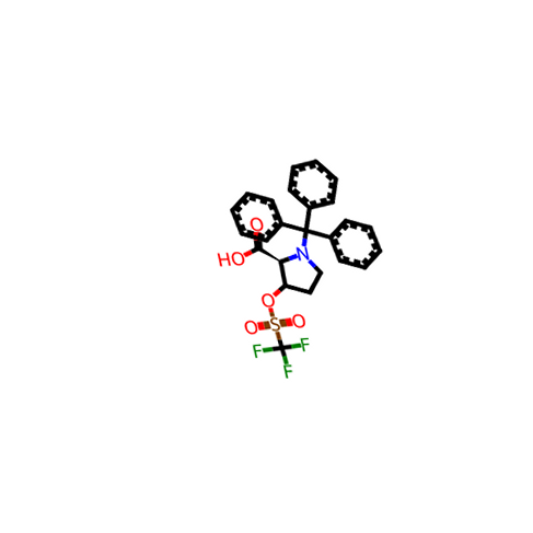 O=C(O)[C@@H]1C(OS(=O)(=O)C(F)(F)F)CCN1C(c1ccccc1)(c1ccccc1)c1ccccc1